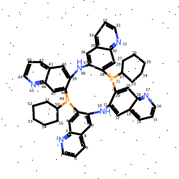 c1cnc2cc3c(cc2c1)Nc1cc2cccnc2cc1P(C1CCCCC1)c1cc2ncccc2cc1Nc1cc2cccnc2cc1P3C1CCCCC1